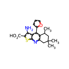 CC1CC(C)(C)Cc2nc3sc(C(=O)O)c(N)c3c(-c3ccco3)c21